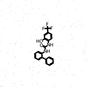 O=C(Nc1ccc(C(F)(F)F)cc1O)Nc1ccccc1-c1ccccc1